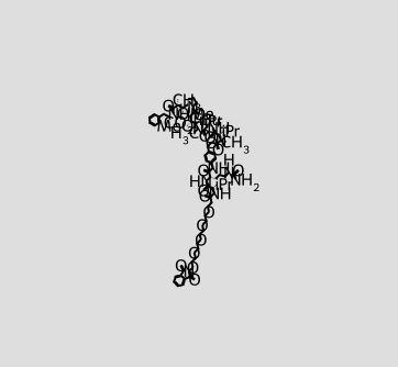 CC[C@H](C)[C@@H]([C@@H](CC(=O)N1CCC[C@H]1[C@H](OC)[C@@H](C)C(=O)N[C@@H](Cc1ccccc1)C(=O)O)OC)N(C)C(=O)[C@@H](NC(=O)[C@H](C(C)C)N(C)C(=O)OCc1ccc(NC(=O)[C@H](CCCNC(N)=O)NC(=O)[C@@H](NC(=O)CCOCCOCCOCCOCCON2C(=O)c3ccccc3C2=O)C(C)C)cc1)C(C)C